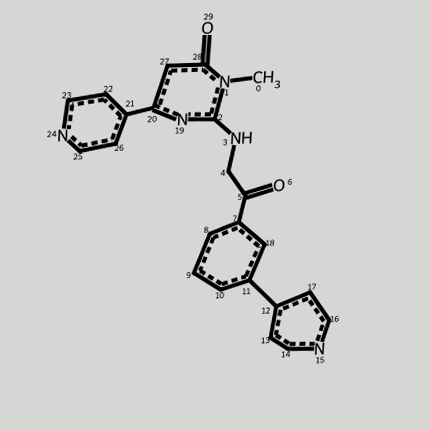 Cn1c(NCC(=O)c2cccc(-c3ccncc3)c2)nc(-c2ccncc2)cc1=O